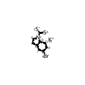 S=C([S-])n1ccc2cc(Br)ccc21.[K+]